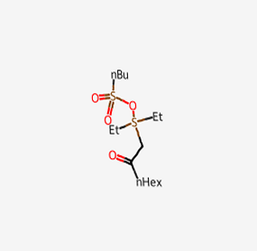 CCCCCCC(=O)CS(CC)(CC)OS(=O)(=O)CCCC